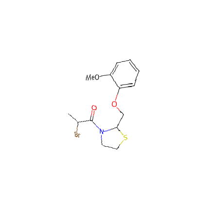 COc1ccccc1OCC1SCCN1C(=O)C(C)Br